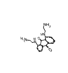 NCCNc1cccc2c1C(=O)c1c(NCCN)cccc1C2=O